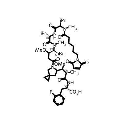 CC[C@H](C)[C@@H](C(CC(=O)N1CC2(CC2)CC1C(OC)[C@@H](C)C(=O)N[C@@H](Cc1ccccc1F)C(=O)O)OC)N(C)C(=O)[C@@H](NC(=O)C(C(C)C)N(C)C(=O)CCCCCN1C(=O)C=CC1=O)C(C)C